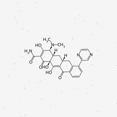 CN(C)[C@@H]1C(O)=C(C(N)=O)C(=O)[C@@]2(O)C(O)=C3C(=O)c4cccc(-c5cnccn5)c4C[C@H]3C[C@@H]12